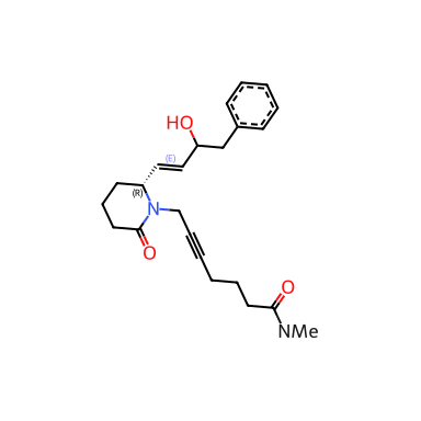 CNC(=O)CCCC#CCN1C(=O)CCC[C@@H]1/C=C/C(O)Cc1ccccc1